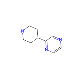 c1cnc(C2CC[N]CC2)cn1